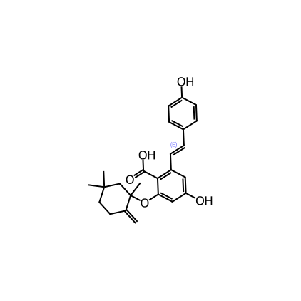 C=C1CCC(C)(C)CC1(C)Oc1cc(O)cc(/C=C/c2ccc(O)cc2)c1C(=O)O